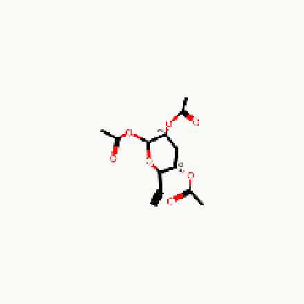 C#CC1OC(OC(C)=O)[C@@H](OC(C)=O)C[C@@H]1OC(C)=O